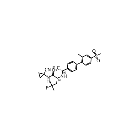 Cc1cc(S(C)(=O)=O)ccc1-c1ccc([C@H](N[C@@H](CC(C)(C)F)C(=O)NC2(C#N)CC2)C(F)(F)F)cc1